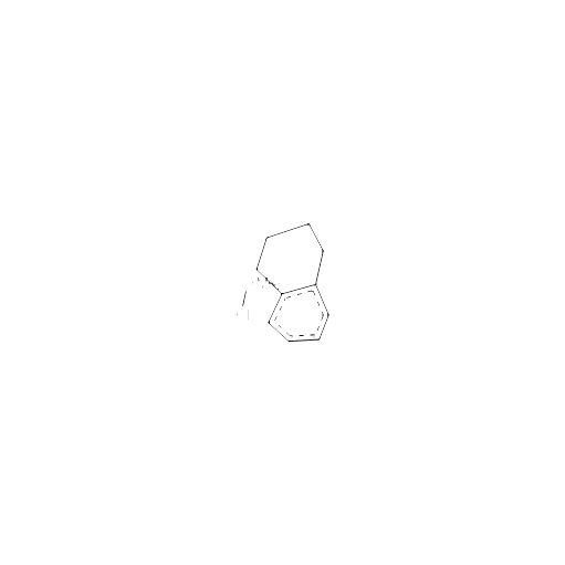 COC.c1ccc2c(c1)CCCC2